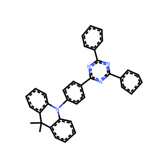 CC1(C)c2ccccc2N(c2ccc(-c3nc(-c4ccccc4)nc(-c4ccccc4)n3)cc2)c2ccccc21